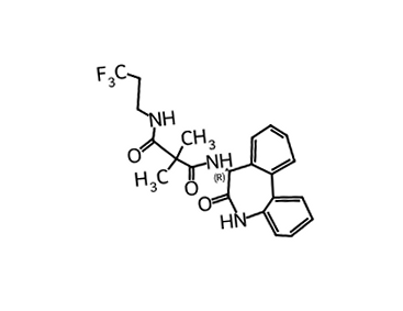 CC(C)(C(=O)NCCC(F)(F)F)C(=O)N[C@H]1C(=O)Nc2ccccc2-c2ccccc21